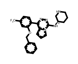 FC(F)(F)c1ccc(-c2nnc(N[C@@H]3CCCNC3)n3cccc23)c(OCc2ccccc2)c1